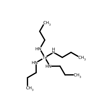 CCCN[Te](NCCC)(NCCC)NCCC